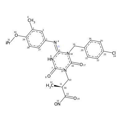 Cc1cc(/N=c2\[nH]c(=O)n(C[C@H](C)C(=O)N=O)c(=O)n2Cc2ccc(Cl)cc2)ccc1OC(C)C